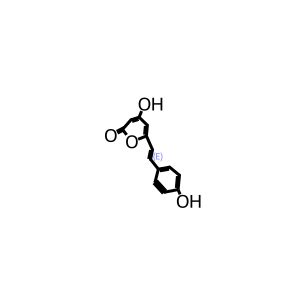 O=c1cc(O)cc(/C=C/c2c#cc(O)cc2)o1